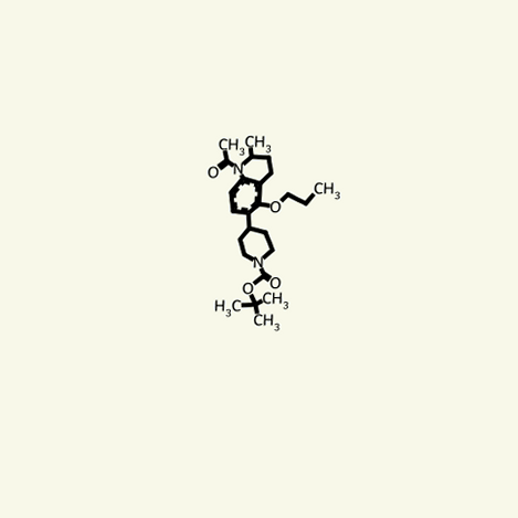 CCCOc1c(C2CCN(C(=O)OC(C)(C)C)CC2)ccc2c1CCC(C)N2C(C)=O